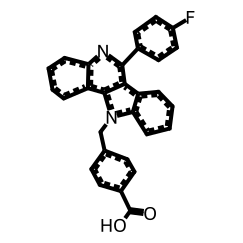 O=C(O)c1ccc(Cn2c3ccccc3c3c(-c4ccc(F)cc4)nc4ccccc4c32)cc1